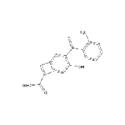 COC(=O)C1=Cc2cc(C(=O)c3ccccc3C(F)(F)F)c(O)cc21